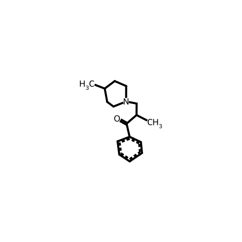 CC1CCN(CC(C)C(=O)c2ccccc2)CC1